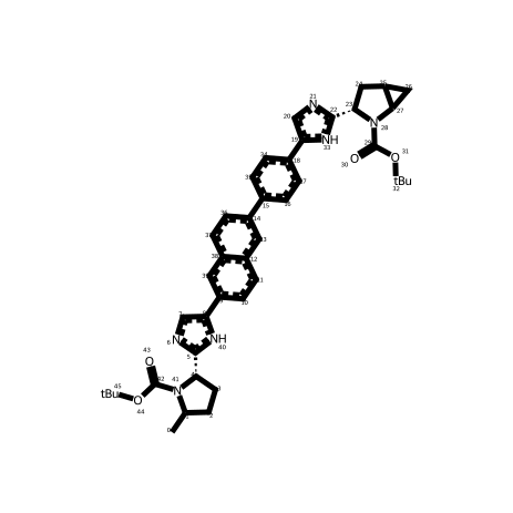 CC1CC[C@@H](c2ncc(-c3ccc4cc(-c5ccc(-c6cnc([C@@H]7CC8CC8N7C(=O)OC(C)(C)C)[nH]6)cc5)ccc4c3)[nH]2)N1C(=O)OC(C)(C)C